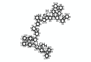 CC1(C)c2cc(N(c3ccc(-c4ccc5oc6c(-c7ccc8c(c7)c7ccccc7n8-c7ccc8c(c7)C(C)(C)c7cc(N(c9ccc(-c%10cccc%11c%10sc%10ccccc%10%11)cc9)c9cccc%10c9-c9ccccc9C%10(c9ccccc9)c9ccccc9)ccc7-8)cccc6c5c4)cc3)c3cccc4c3-c3ccccc3C4(c3ccccc3)c3ccccc3)ccc2-c2ccc(-n3c4ccccc4c4ccccc43)cc21